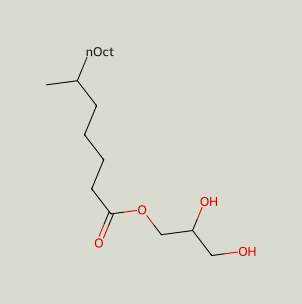 CCCCCCCCC(C)CCCCC(=O)OCC(O)CO